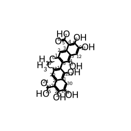 Cc1cc2c(C(=O)O)c(O)c(O)cc2c(O)c1-c1c(C)cc2c(C(=O)O)c(O)c(O)cc2c1O